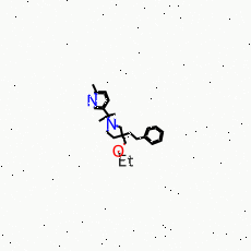 CCOCC1(CCc2ccccc2)CCN(C(C)(C)c2ccc(C)nc2)C1